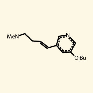 CNCCC=Cc1cncc(OCC(C)C)c1